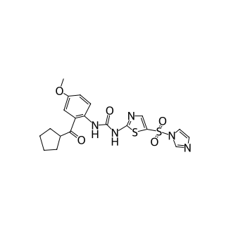 COc1ccc(NC(=O)Nc2ncc(S(=O)(=O)n3ccnc3)s2)c(C(=O)C2CCCC2)c1